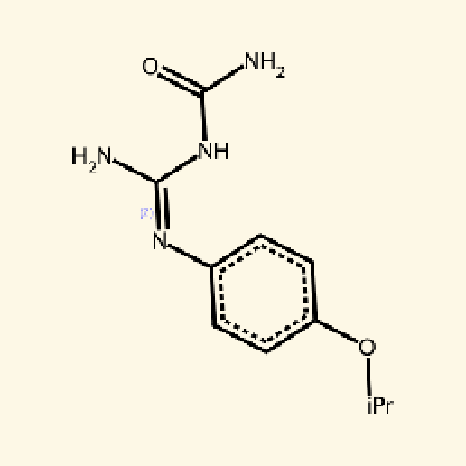 CC(C)Oc1ccc(/N=C(/N)NC(N)=O)cc1